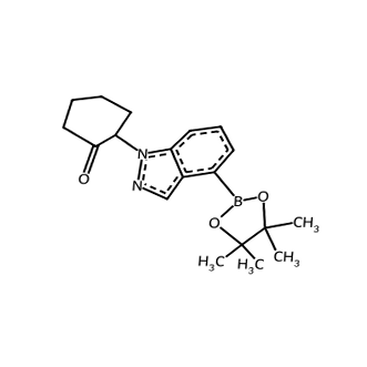 CC1(C)OB(c2cccc3c2cnn3C2CCCCC2=O)OC1(C)C